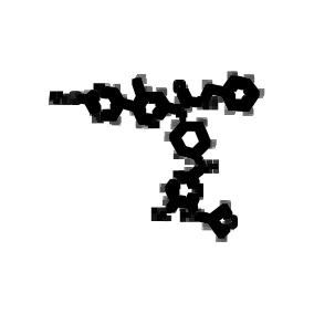 COc1ncc(-c2cnc(N(C(=O)NCc3ccccc3)[C@H]3CC[C@H](Nc4ncc(C#N)c(NC5COC5)n4)CC3)cc2C)cn1